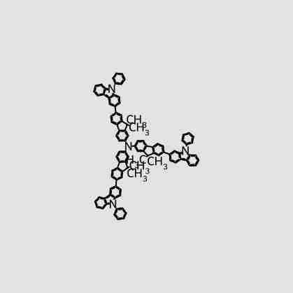 CC1(C)c2cc(-c3ccc4c(c3)c3ccccc3n4-c3ccccc3)ccc2-c2ccc(N(c3ccc4c(c3)C(C)(C)c3cc(-c5ccc6c(c5)c5ccccc5n6-c5ccccc5)ccc3-4)c3ccc4c(c3)C(C)(C)c3cc(-c5ccc6c7ccccc7n(-c7ccccc7)c6c5)ccc3-4)cc21